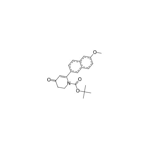 COc1ccc2cc(C3=CC(=O)CCN3C(=O)OC(C)(C)C)ccc2c1